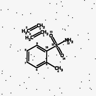 C=C.C=C.Cc1ccccc1S(N)(=O)=O